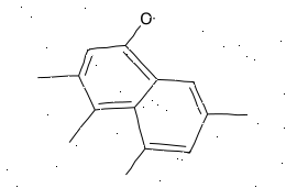 Cc1cc(C)c2c(C)c(C)cc([O])c2c1